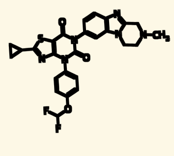 CN1CCn2c(nc3ccc(-n4c(=O)c5sc(C6CC6)nc5n(-c5ccc(OC(F)F)cc5)c4=O)cc32)C1